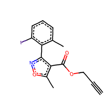 C#CCOC(=O)c1c(-c2c(C)cccc2I)noc1C